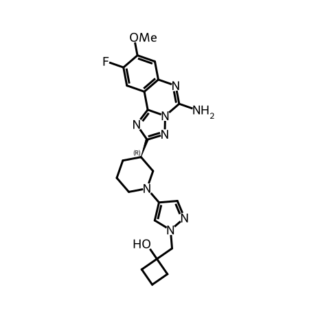 COc1cc2nc(N)n3nc([C@@H]4CCCN(c5cnn(CC6(O)CCC6)c5)C4)nc3c2cc1F